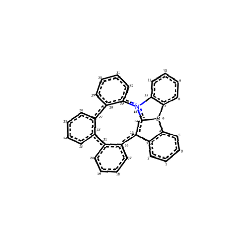 c1ccc2c(c1)B1c3ccccc3-n3c1c-2c1ccccc1c1ccccc1c1ccccc13